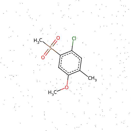 COc1cc(S(C)(=O)=O)c(Cl)cc1C